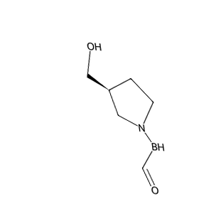 O=CBN1CC[C@H](CO)C1